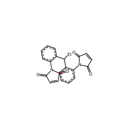 CCC(c1ccccc1N1C(=O)C=CC1=O)c1ccccc1N1C(=O)C=CC1=O